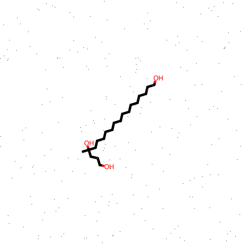 CC(O)(CCCO)CCCCCCCCCCCCCCCO